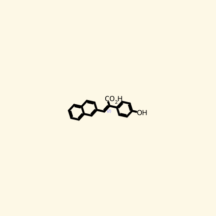 O=C(O)/C(=C\c1ccc2ccccc2c1)c1ccc(O)cc1